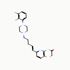 O=C1COc2ccc(C=CCCCN3CCN(c4cccc(Cl)c4Cl)CC3)nc2N1